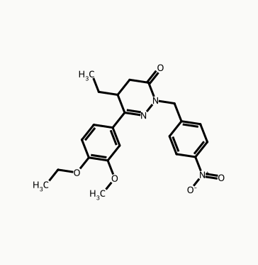 CCOc1ccc(C2=NN(Cc3ccc([N+](=O)[O-])cc3)C(=O)CC2CC)cc1OC